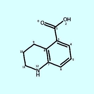 O=C(O)c1cccc2c1CCCN2